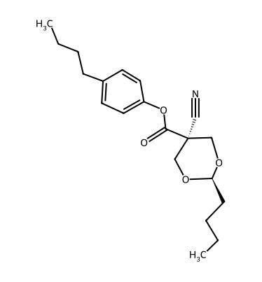 CCCCc1ccc(OC(=O)[C@]2(C#N)CO[C@H](CCCC)OC2)cc1